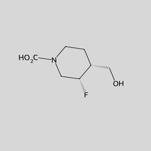 O=C(O)N1CC[C@H](CO)[C@H](F)C1